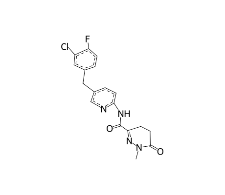 CN1N=C(C(=O)Nc2ccc(Cc3ccc(F)c(Cl)c3)cn2)CCC1=O